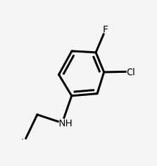 [CH2]CNc1ccc(F)c(Cl)c1